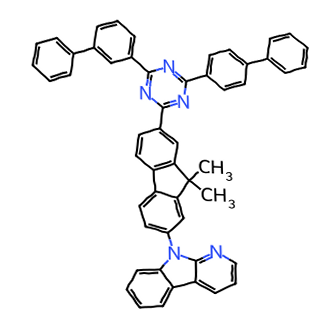 CC1(C)c2cc(-c3nc(-c4ccc(-c5ccccc5)cc4)nc(-c4cccc(-c5ccccc5)c4)n3)ccc2-c2ccc(-n3c4ccccc4c4cccnc43)cc21